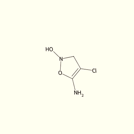 NC1=C(Cl)CN(O)O1